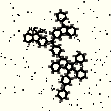 CC1(C)c2ccccc2-c2ccc(N(c3ccc(-c4cc5c(-c6ccccc6)c(-c6ccccc6)n(-c6ccc(-c7ccccc7)cc6)c5c5ccccc45)cc3)c3ccc4c(c3)c3ccccc3n4-c3ccccc3)cc21